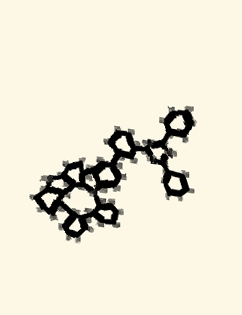 c1ccc(-c2nc(-c3ccccc3)nc(-c3cccc(-c4ccc5c(c4)c4ccc6sc7cccc8c9ccccc9c9ccccc9n5c4c6c78)c3)n2)cc1